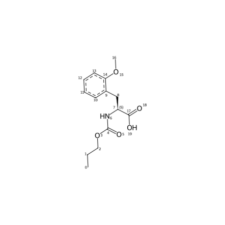 CCCOC(=O)N[C@@H](Cc1ccccc1OC)C(=O)O